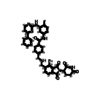 Cc1ccc(NC(=O)c2ccc(CNCc3ccc4c(c3F)C(=O)N(C3CCC(=O)NC3=O)C4=O)cc2)cc1Nc1nccc(-c2cccnc2)n1